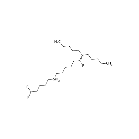 CCCCC[SiH](CCCCC)C(F)CCCCC[SiH2]CCCCC(F)F